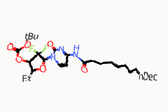 CCCCCCCCCCCCCCCCCC(=O)Nc1ccn(C2OC(CC)C(OC(=O)OC(C)(C)C)C2(F)F)c(=O)n1